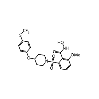 COc1cccc(S(=O)(=O)N2CCC(Oc3ccc(SC(F)(F)F)cc3)CC2)c1C(=O)NO